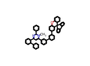 CN1C(c2cccc(-c3cccc(-c4ccc5c(c4)C4(c6ccccc6O5)c5ccccc5-c5ccccc54)c3)c2)=CC(c2ccccc2-c2ccccc2)=NC1c1ccccc1